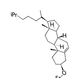 CCO[C@H]1CC[C@@]2(C)C(=CC[C@H]3[C@@H]4CC[C@H](C(C)CCCC(C)C)[C@@]4(C)CC[C@@H]32)C1